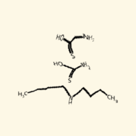 CCCCNCCCC.NC(O)=S.NC(O)=S